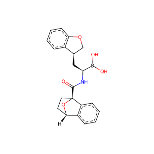 O=C(N[C@@H](C[C@@H]1COc2ccccc21)B(O)O)[C@]12CC[C@H](O1)c1ccccc12